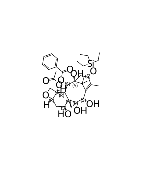 CC[Si](CC)(CC)O[C@H]1C[C@@]2(O)[C@@H](OC(=O)c3ccccc3)[C@@H]3[C@]4(OC(C)=O)CO[C@@H]4C[C@H](O)[C@@]3(C)[C@@H](O)[C@@H](O)C(=C1C)C2(C)C